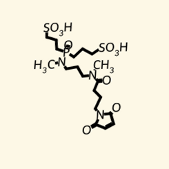 CN(CCCN(C)P(=O)(CCCS(=O)(=O)O)CCCS(=O)(=O)O)C(=O)CCCN1C(=O)C=CC1=O